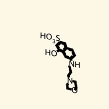 O=S(=O)(O)c1cc(O)c2cc(NCCCN3CCOCC3)ccc2c1